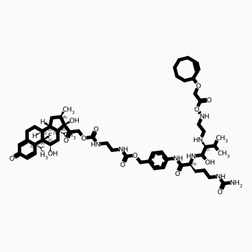 CC(C)[C@H](NCCNOC(=O)COC1C#CCCCCC1)C(O)N[C@@H](CCCNC(N)=O)C(=O)Nc1ccc(COC(=O)NCCNC(=O)OCC(=O)[C@@]2(O)[C@H](C)C[C@H]3[C@@H]4CCC5=CC(=O)C=C[C@]5(C)[C@@]4(F)[C@@H](O)C[C@@]32C)cc1